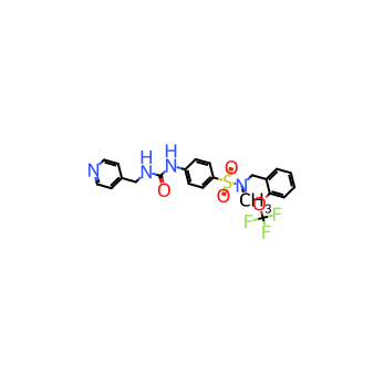 CN(Cc1ccccc1OC(F)(F)F)S(=O)(=O)c1ccc(NC(=O)NCc2ccncc2)cc1